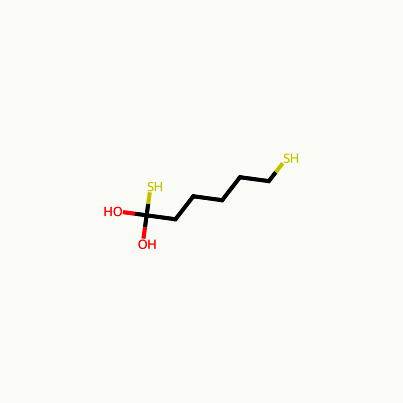 OC(O)(S)CCCCCS